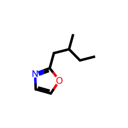 CCC(C)Cc1ncco1